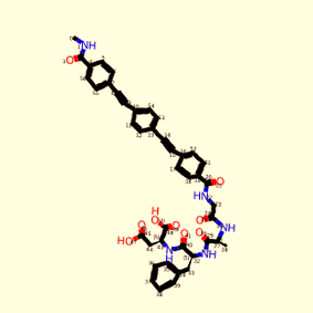 CNC(=O)c1ccc(C#Cc2ccc(C#Cc3ccc(C(=O)NCC(=O)N[C@@H](C)C(=O)N[C@@H](Cc4ccccc4)C(=O)N[C@@H](CC(=O)O)C(=O)O)cc3)cc2)cc1